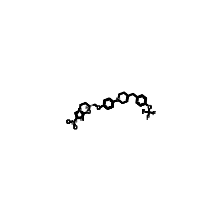 O=[N+]([O-])c1cn2c(n1)O[C@@H](COc1ccc(N3CC=C(Cc4ccc(OC(F)(F)F)cc4)CC3)cc1)CC2